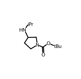 CC(C)NC1CCN(C(=O)OC(C)(C)C)C1